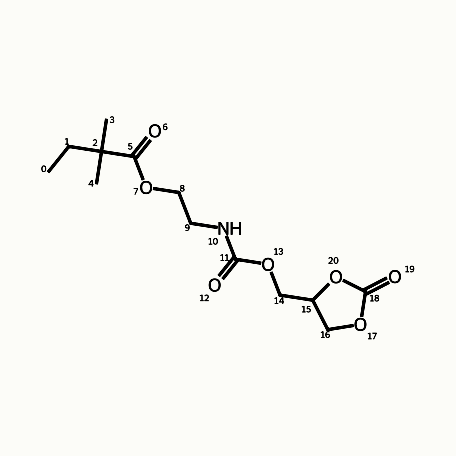 CCC(C)(C)C(=O)OCCNC(=O)OCC1COC(=O)O1